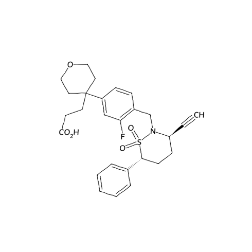 C#C[C@H]1CC[C@H](c2ccccc2)S(=O)(=O)N1Cc1ccc(C2(CCC(=O)O)CCOCC2)cc1F